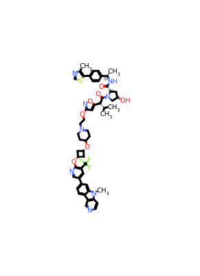 Cc1ncsc1-c1ccc([C@H](C)NC(=O)[C@@H]2C[C@@H](O)CN2C(=O)[C@@H](c2cc(OCCN3CCC(O[C@H]4C[C@H](Oc5ncc(-c6ccc7c8cnccc8n(C)c7c6)cc5C(F)(F)F)C4)CC3)no2)C(C)C)cc1